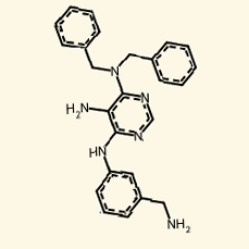 NCc1c[c]cc(Nc2ncnc(N(Cc3ccccc3)Cc3ccccc3)c2N)c1